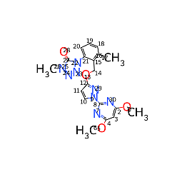 COc1cc(OC)nc(-n2ccc(OCc3c(C)cccc3-n3nnn(C)c3=O)n2)n1